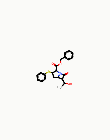 CC(O)C1C(=O)N2C1CC(Sc1ccccc1)C2C(=O)OCc1ccccc1